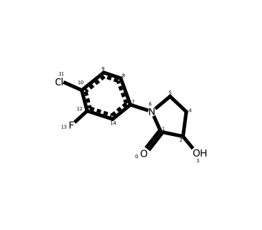 O=C1C(O)CCN1c1ccc(Cl)c(F)c1